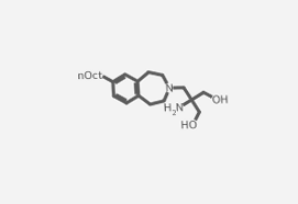 CCCCCCCCc1ccc2c(c1)CCN(CC(N)(CO)CO)CC2